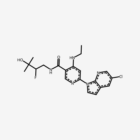 CCNc1cc(-n2ccc3cc(Cl)cnc32)ncc1C(=O)NCC(F)C(C)(C)O